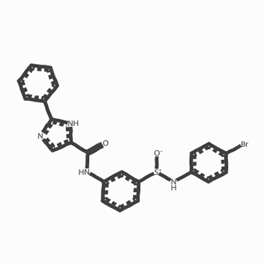 O=C(Nc1cccc([S+]([O-])Nc2ccc(Br)cc2)c1)c1cnc(-c2ccccc2)[nH]1